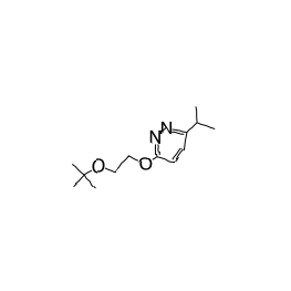 CC(C)c1ccc(OCCOC(C)(C)C)nn1